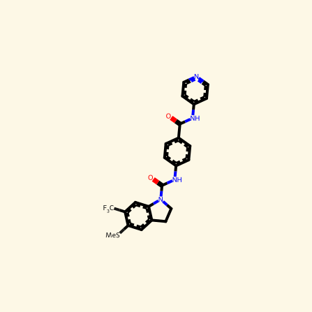 CSc1cc2c(cc1C(F)(F)F)N(C(=O)Nc1ccc(C(=O)Nc3ccncc3)cc1)CC2